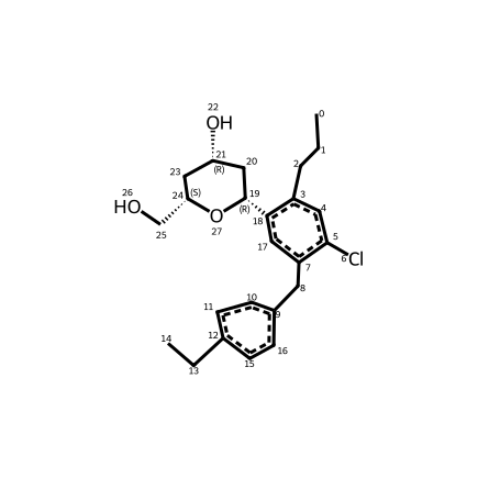 CCCc1cc(Cl)c(Cc2ccc(CC)cc2)cc1[C@H]1C[C@@H](O)C[C@@H](CO)O1